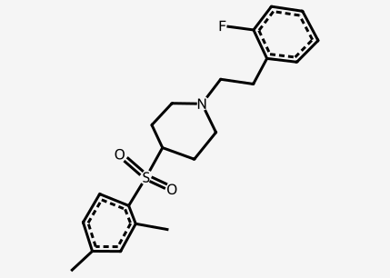 Cc1ccc(S(=O)(=O)C2CCN(CCc3ccccc3F)CC2)c(C)c1